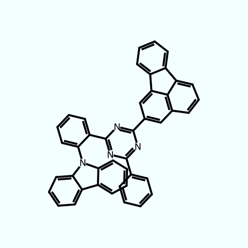 c1ccc(-c2nc(-c3cc4c5c(cccc5c3)-c3ccccc3-4)nc(-c3ccccc3-n3c4ccccc4c4ccccc43)n2)cc1